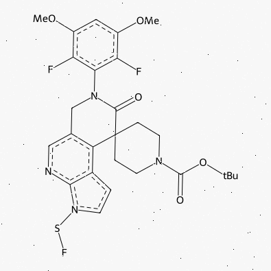 COc1cc(OC)c(F)c(N2Cc3cnc4c(ccn4SF)c3C3(CCN(C(=O)OC(C)(C)C)CC3)C2=O)c1F